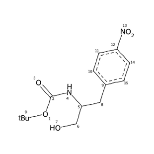 CC(C)(C)OC(=O)NC(CO)Cc1ccc([N+](=O)[O-])cc1